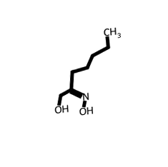 CCCCCC(CO)=NO